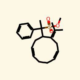 COS(=O)(=O)C(C)(c1ccccc1)C1CC=CCCC=CCC1=C(C)C